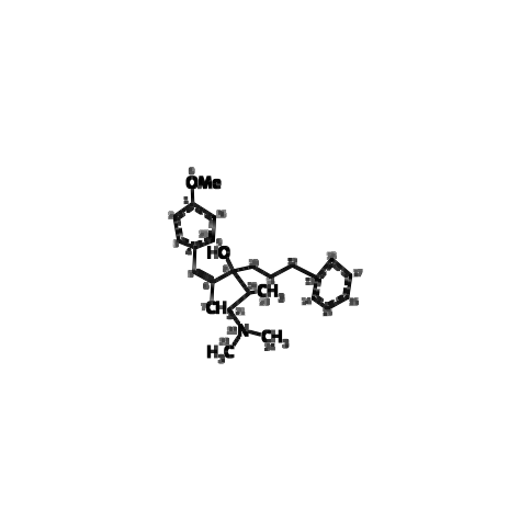 COc1ccc(/C=C(/C)C(O)(CCCc2ccccc2)C(C)CN(C)C)cc1